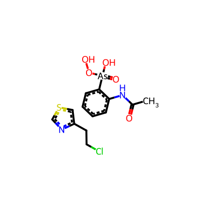 CC(=O)Nc1ccccc1[As](=O)(O)OO.ClCCc1cscn1